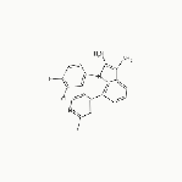 Cc1cc(-c2cccc3c(N)c(N)n(-c4ccc(F)c(Cl)c4)c23)ccn1